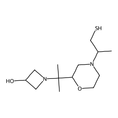 CC(CS)N1CCOC(C(C)(C)N2CC(O)C2)C1